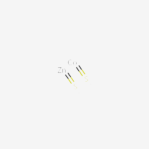 [S]=[Co].[S]=[Zn]